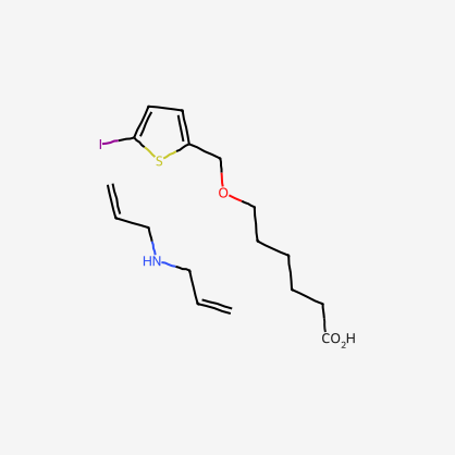 C=CCNCC=C.O=C(O)CCCCCOCc1ccc(I)s1